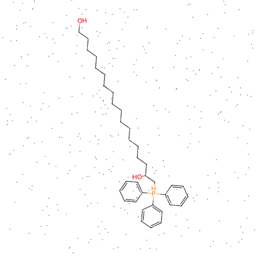 OCCCCCCCCCCCCCCCCC(O)C[PH](c1ccccc1)(c1ccccc1)c1ccccc1